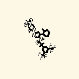 Cc1ccccc1-c1cc(N2CCN(S(C)(=O)=O)C[C@@H]2C)ncc1N(C)C(=O)C(C)(C)c1cc(C(F)(F)F)cc(C(F)(F)F)c1